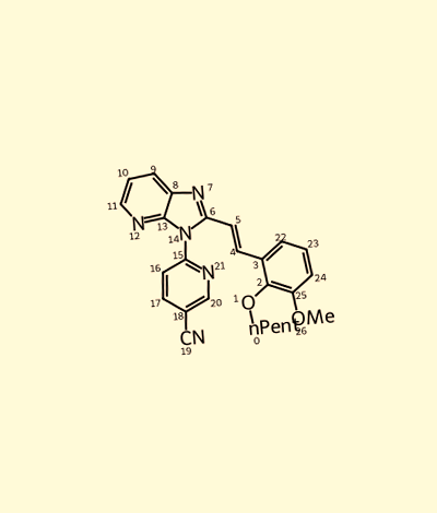 CCCCCOc1c(C=Cc2nc3cccnc3n2-c2ccc(C#N)cn2)cccc1OC